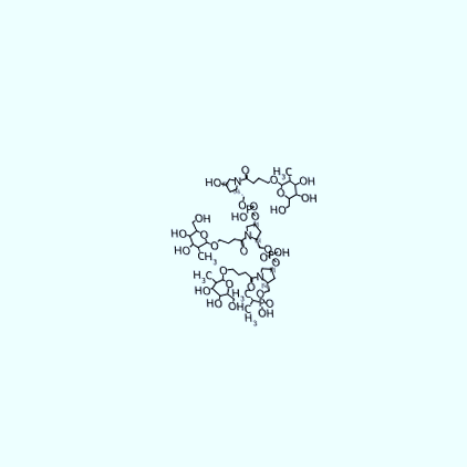 CC1C(OCCCC(=O)N2C[C@H](O)C[C@H]2COP(=O)(O)O[C@@H]2C[C@@H](COP(=O)(O)O[C@@H]3C[C@@H](COP(=O)(O)C(C)C)N(C(=O)CCCOC4OC(CO)C(O)C(O)C4C)C3)N(C(=O)CCCOC3OC(CO)C(O)C(O)C3C)C2)OC(CO)C(O)C1O